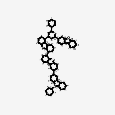 c1ccc(-c2cc(-c3cccc4sc5c(-c6cccc7c6oc6ccc(-c8ccc9c(c8)c8ccccc8n9-c8ccccc8)cc67)cccc5c34)cc(-c3ccc4c(c3)oc3ccccc34)n2)cc1